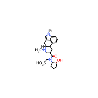 CC(C)n1cc2c3c(cccc31)C1CC(C(=O)N(CS(=O)(=O)O)[C@@H]3CCC[C@@H]3O)CN(C)[C@@H]1C2